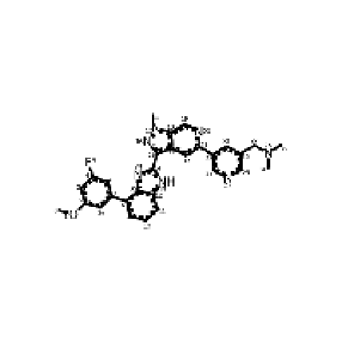 COc1cc(F)cc(-c2cccc3[nH]c(-c4n[nH]c5cnc(-c6cncc(CN(C)C)c6)cc45)nc23)c1